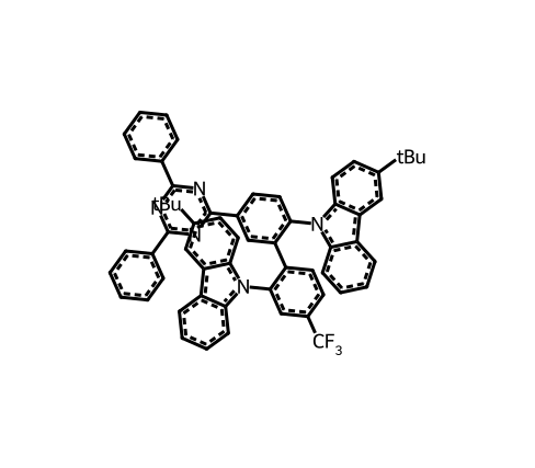 CC(C)(C)c1ccc2c(c1)c1ccccc1n2-c1ccc(-c2nc(-c3ccccc3)nc(-c3ccccc3)n2)cc1-c1ccc(C(F)(F)F)cc1-n1c2ccccc2c2cc(C(C)(C)C)ccc21